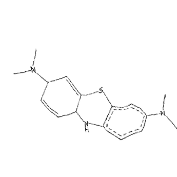 CN(C)c1ccc2c(c1)SC1=CC(N(C)C)C=CC1N2